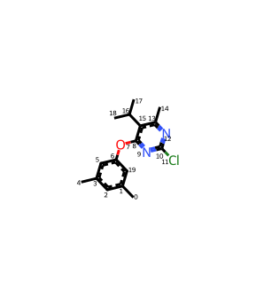 Cc1cc(C)cc(Oc2nc(Cl)nc(C)c2C(C)C)c1